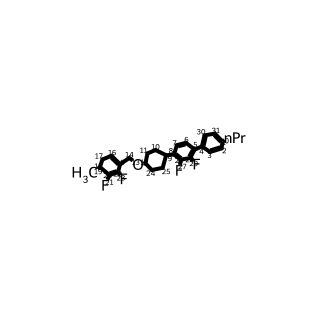 CCCc1ccc(-c2ccc(C3CCC(OCC4=CCC(C)C(F)=C4F)CC3)c(F)c2F)cc1